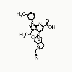 Cc1cccc(-n2nc(C(C)C)c3c(N4CCC5C(CCN5CC#N)C4)cc(C(=O)O)nc32)c1